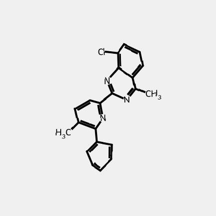 Cc1ccc(-c2nc(C)c3cccc(Cl)c3n2)nc1-c1ccccc1